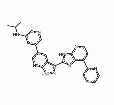 CC(C)Nc1cncc(-c2cnc3[nH]nc(-c4nc5c(-c6ccccn6)ccnc5[nH]4)c3c2)c1